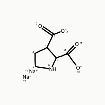 O=C([O-])C1CCNC1C(=O)[O-].[Na+].[Na+]